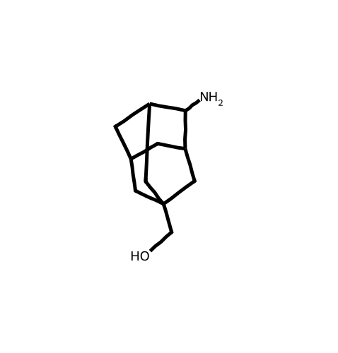 NC1C2CC3CC1CC(CO)(C3)C2